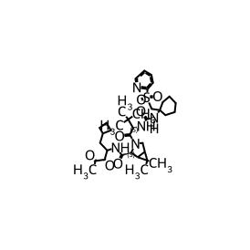 CC(=O)C(=O)C(CC1CCC1)NC(=O)[C@@H]1C2C(CN1C(=O)[C@@H](NC(=O)NC1(CS(=O)(=O)c3ccccn3)CCCCC1)C(C)(C)C)C2(C)C